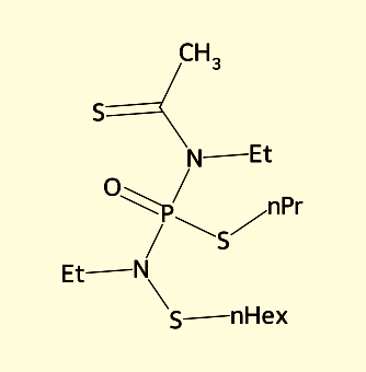 CCCCCCSN(CC)P(=O)(SCCC)N(CC)C(C)=S